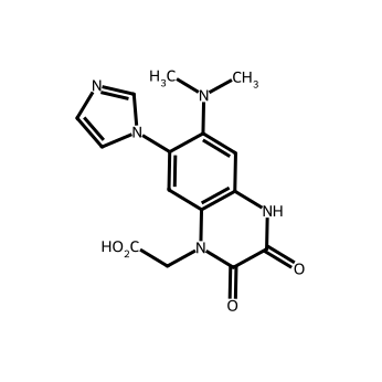 CN(C)c1cc2[nH]c(=O)c(=O)n(CC(=O)O)c2cc1-n1ccnc1